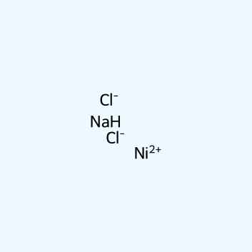 [Cl-].[Cl-].[NaH].[Ni+2]